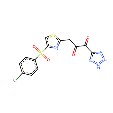 O=C(Cc1nc(S(=O)(=O)c2ccc(Cl)cc2)cs1)C(=O)c1nn[nH]n1